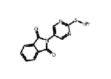 CCCSc1ncc(N2C(=O)c3ccccc3C2=O)cn1